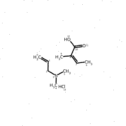 C=CCN(C)C.CC=C(C)C(=O)O.Cl